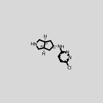 Clc1ccc(N[C@@H]2C[C@H]3CNC[C@H]3C2)nn1